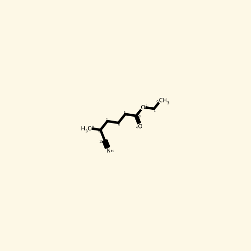 CCOC(=O)CCCC(C)C#N